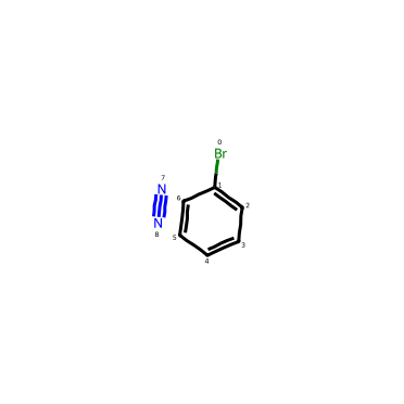 Brc1ccccc1.N#N